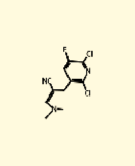 CN(C)/C=C(/C#N)Cc1cc(F)c(Cl)nc1Cl